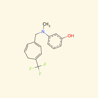 CN(CC1=CC=C(C(F)(F)F)CC=C1)c1cccc(O)c1